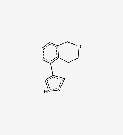 c1cc2c(c(-c3cn[nH]c3)c1)CCOC2